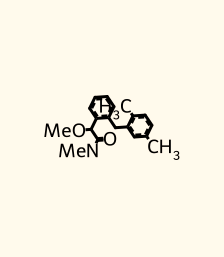 CNC(=O)C(OC)c1ccccc1Cc1cc(C)ccc1C